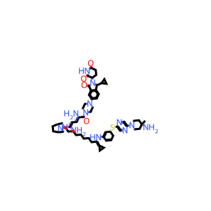 CC1(N)CCN(c2cnc(SC3C=C(NC(CCCCCCCCN4C5CCC4CN(/C(N)=C/C=C(\N)C(=O)N4CCN(c6ccc7c(c6)C(=O)N(C6CCC(=O)NC6=O)C7C6CC6)CC4)C5)=C4CC4)C=CC3)cn2)CC1